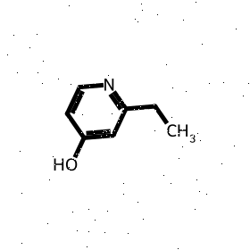 CCc1cc(O)ccn1